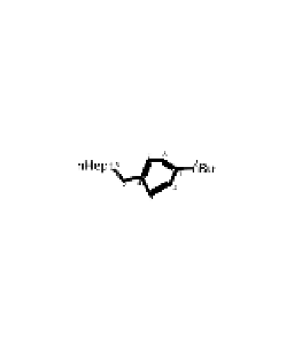 CCC[CH]c1ccc(CCCCCCCC)cc1